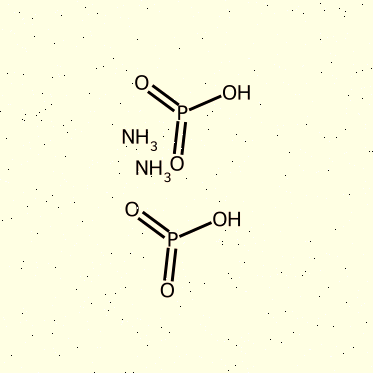 N.N.O=P(=O)O.O=P(=O)O